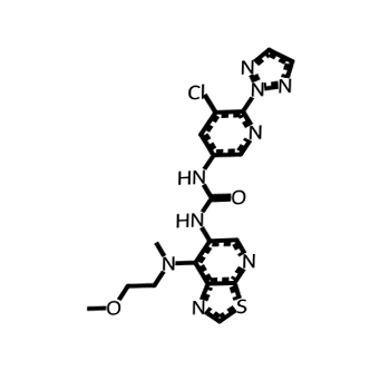 COCCN(C)c1c(NC(=O)Nc2cnc(-n3nccn3)c(Cl)c2)cnc2scnc12